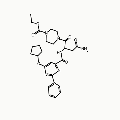 CCOC(=O)N1CCN(C(=O)C(CC(N)=O)NC(=O)c2cc(OC3CCCC3)nc(-c3ccccc3)n2)CC1